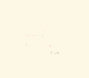 O=[Si](O)O.[BaH2].[La]